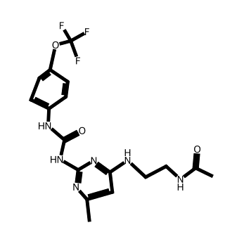 CC(=O)NCCNc1cc(C)nc(NC(=O)Nc2ccc(OC(F)(F)F)cc2)n1